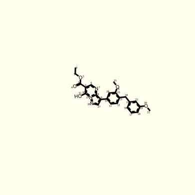 CCOC(=O)c1cnc2c(-c3ccc(Cc4cccc(OC)c4)c(OC)c3)cnn2c1O